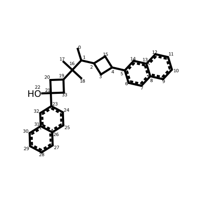 CC(C1CC(c2ccc3ccccc3c2)C1)C(C)(C)C1CC(O)(c2ccc3ccccc3c2)C1